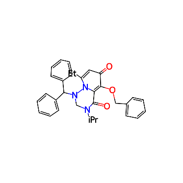 CCc1cc(=O)c(OCc2ccccc2)c2n1N(C(c1ccccc1)c1ccccc1)CN(C(C)C)C2=O